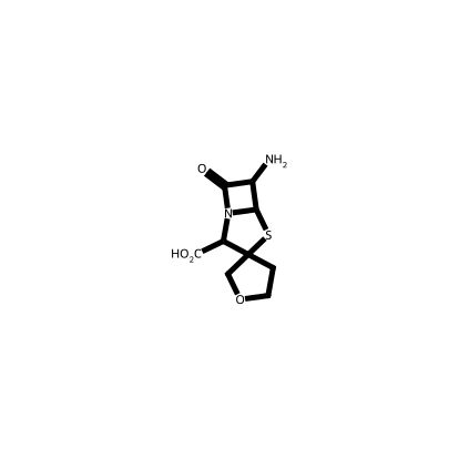 NC1C(=O)N2C1SC1(CCOC1)C2C(=O)O